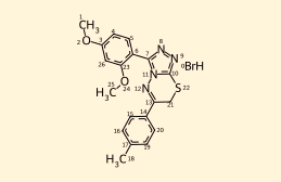 Br.COc1ccc(-c2nnc3n2N=C(c2ccc(C)cc2)CS3)c(OC)c1